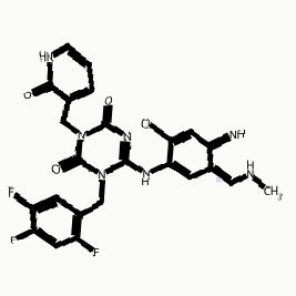 CN/C=C1/C=C(Nc2nc(=O)n(Cc3ccc[nH]c3=O)c(=O)n2Cc2cc(F)c(F)cc2F)C(Cl)=CC1=N